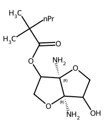 CCCC(C)(C)C(=O)OC1CO[C@]2(N)C(O)CO[C@]12N